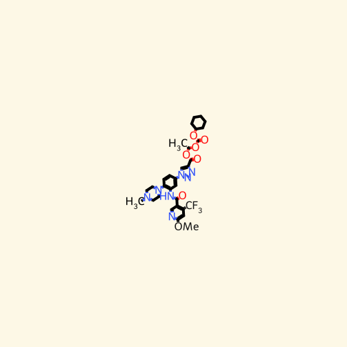 COc1cc(C(F)(F)F)c(C(=O)Nc2cc(-n3cc(C(=O)OC(C)OC(=O)OC4CCCCC4)nn3)ccc2N2CCN(C)CC2)cn1